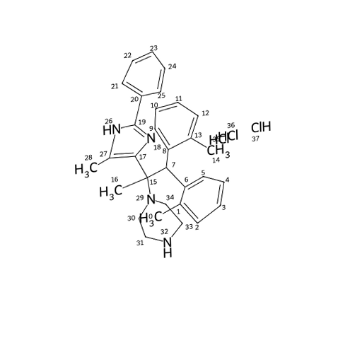 Cc1ccccc1C(c1ccccc1C)C(C)(c1nc(-c2ccccc2)[nH]c1C)N1CCNCC1.Cl.Cl.Cl